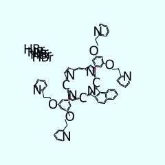 Br.Br.Br.Br.C1=Cc2cc3ccc(cc4nc(cc5ccc(cc1n2)n5-c1cc(OCCc2ccccn2)cc(OCCc2ccccn2)c1)-c1ccc2ccccc2c1-4)n3-c1cc(OCCc2ccccn2)cc(OCCc2ccccn2)c1